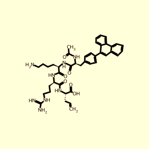 C=CC[C@H](NC(=O)[C@@H](CCCNC(=N)N)NC(=O)[C@@H](CCCCN)NC(=O)[C@H](Cc1ccc(-c2cc3ccccc3c3ccccc23)cc1)NC(C)=O)C(=O)O